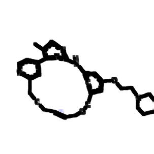 Cc1cnc2nc1-c1ccnc(c1)CCC/C=C/COCc1cc(cc(OCCN3CCOCC3)c1)N2